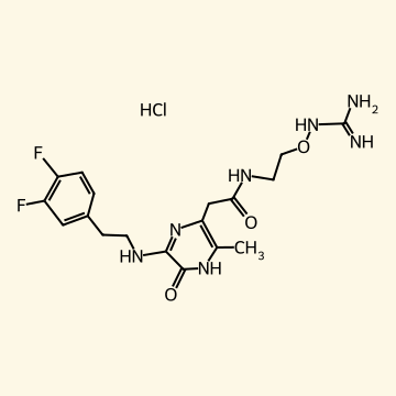 Cc1[nH]c(=O)c(NCCc2ccc(F)c(F)c2)nc1CC(=O)NCCONC(=N)N.Cl